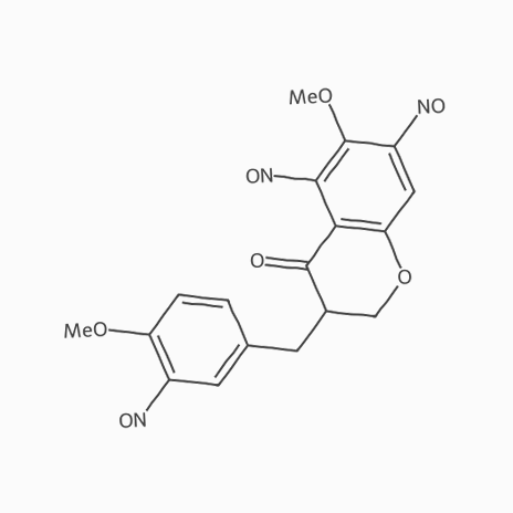 COc1ccc(CC2COc3cc(N=O)c(OC)c(N=O)c3C2=O)cc1N=O